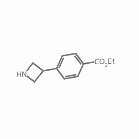 CCOC(=O)c1ccc(C2CNC2)cc1